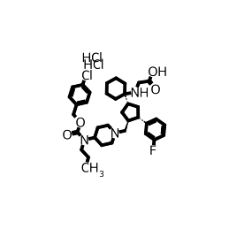 CCCN(C(=O)OCc1ccc(Cl)cc1)C1CCN(C[C@H]2C[C@H](C3(NCC(=O)O)CCCCC3)C[C@@H]2c2cccc(F)c2)CC1.Cl.Cl